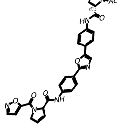 CC(=O)N1CCC[C@H]1C(=O)Nc1ccc(-c2cnc(-c3ccc(NC(=O)C4C=CCN4C(=O)c4ccno4)cc3)o2)cc1